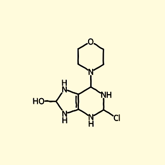 OC1NC2=C(N1)C(N1CCOCC1)NC(Cl)N2